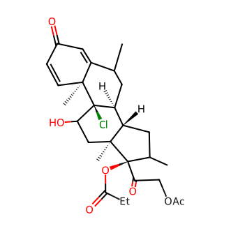 CCC(=O)O[C@]1(C(=O)COC(C)=O)C(C)C[C@H]2[C@@H]3CC(C)C4=CC(=O)C=C[C@]4(C)[C@@]3(Cl)C(O)C[C@@]21C